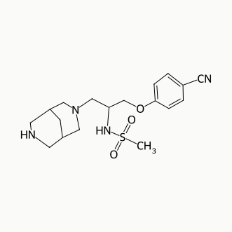 CS(=O)(=O)NC(COc1ccc(C#N)cc1)CN1CC2CNCC(C2)C1